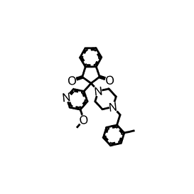 COc1cncc(C2(N3CCN(Cc4ccccc4C)CC3)C(=O)c3ccccc3C2=O)c1